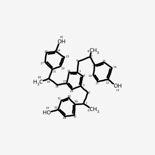 CC(Cc1cc(CC(C)c2ccc(O)cc2)cc(CC(C)c2ccc(O)cc2)c1)c1ccc(O)cc1